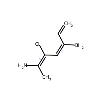 B/C(C=C)=C/C(Cl)=C(\C)N